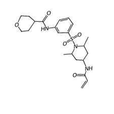 C=CC(=O)NC1CC(C)N(S(=O)(=O)c2cccc(NC(=O)C3CCOCC3)c2)C(C)C1